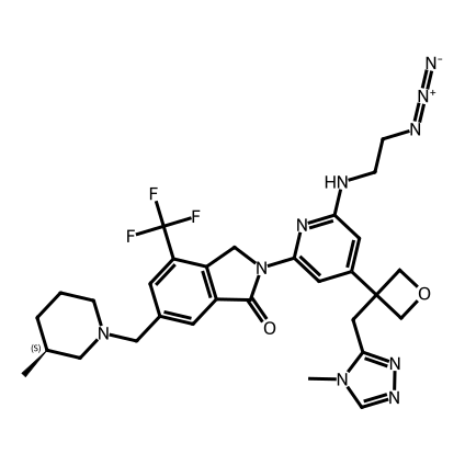 C[C@H]1CCCN(Cc2cc3c(c(C(F)(F)F)c2)CN(c2cc(C4(Cc5nncn5C)COC4)cc(NCCN=[N+]=[N-])n2)C3=O)C1